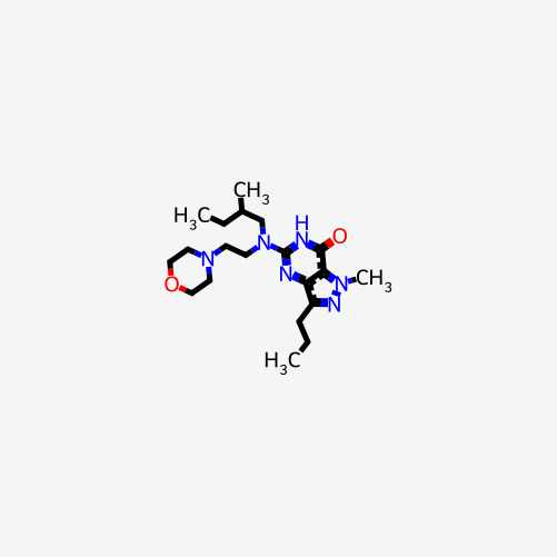 CCCc1nn(C)c2c(=O)[nH]c(N(CCN3CCOCC3)CC(C)CC)nc12